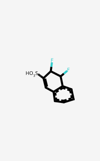 O=S(=O)(O)C1=Cc2ccccc2C(F)C1F